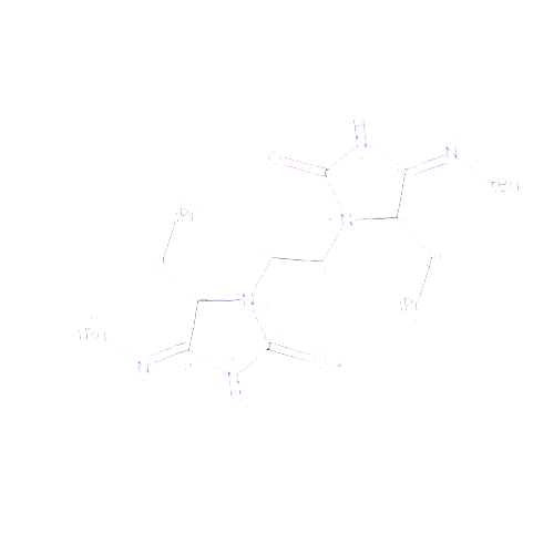 CC(C)CC1/C(=N\C(C)(C)C)NC(=O)N1CCN1C(=O)N/C(=N/C(C)(C)C)C1CC(C)C